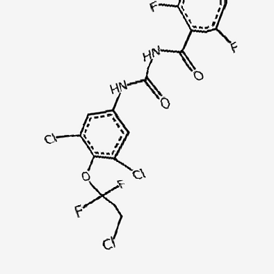 O=C(NC(=O)c1c(F)cccc1F)Nc1cc(Cl)c(OC(F)(F)CCl)c(Cl)c1